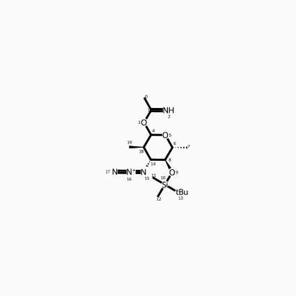 CC(=N)OC1O[C@H](C)[C@@H](O[Si](C)(C)C(C)(C)C)[C@H](N=[N+]=[N-])[C@H]1C